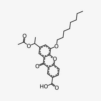 CCCCCCCCOc1cc(C(C)OC(C)=O)cc2c(=O)c3cc(C(=O)O)ccc3oc12